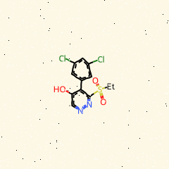 CCS(=O)(=O)c1nn[c]c(O)c1-c1cc(Cl)cc(Cl)c1